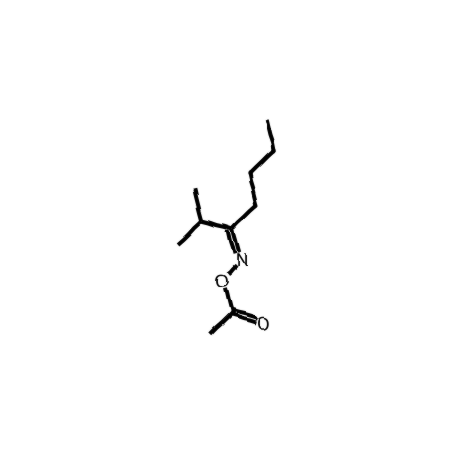 CCCC/C(=N/OC(C)=O)C(C)C